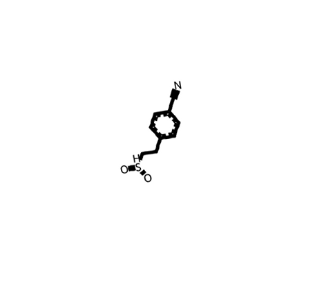 N#Cc1ccc(CC[SH](=O)=O)cc1